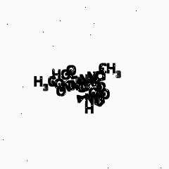 CCOC(=O)N1CCN(C(=O)[C@H](CCC(=O)O)NC(=O)c2cc(OCC(=O)N3CCC[C@H]3C(=O)NCC3CC3)c3ccc(C)cc3n2)CC1